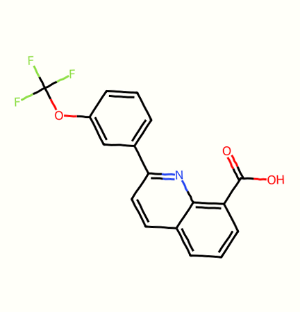 O=C(O)c1cccc2ccc(-c3cccc(OC(F)(F)F)c3)nc12